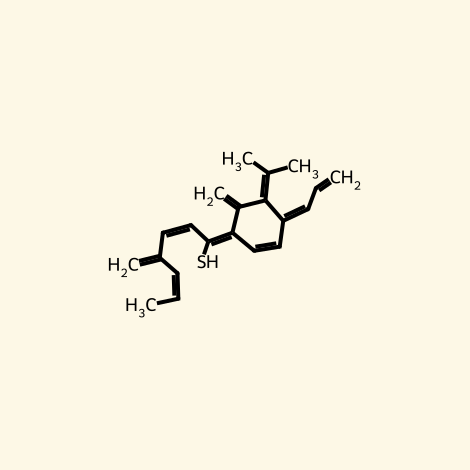 C=C/C=c1/cc/c(=C(S)/C=C\C(=C)/C=C\C)c(=C)c1=C(C)C